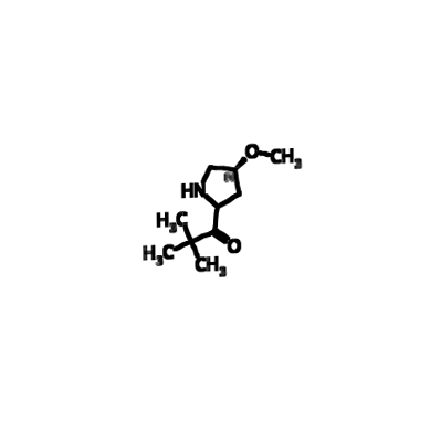 CO[C@@H]1CNC(C(=O)C(C)(C)C)C1